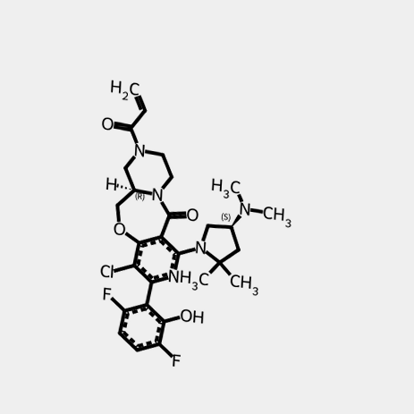 C=CC(=O)N1CCN2C(=O)c3c(N4C[C@@H](N(C)C)CC4(C)C)nc(-c4c(F)ccc(F)c4O)c(Cl)c3OC[C@H]2C1